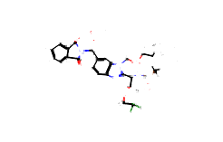 COC[C@H](c1ccc2nc([C@@H](N[S@+]([O-])C(C)(C)C)[C@@H](C)O[C@@H](C)C(F)(F)F)n(COCC[Si](C)(C)C)c2c1)N1C(=O)c2ccccc2C1=O